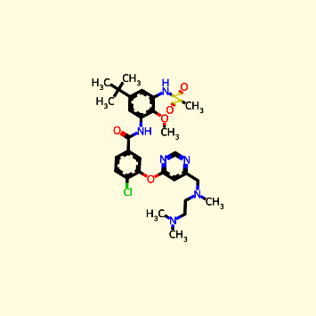 COc1c(NC(=O)c2ccc(Cl)c(Oc3cc(CN(C)CCN(C)C)ncn3)c2)cc(C(C)(C)C)cc1NS(C)(=O)=O